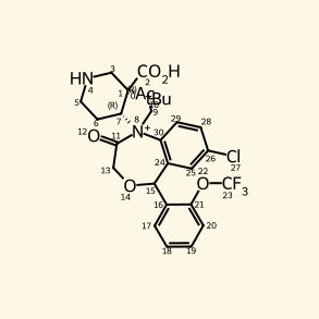 CC(=O)[C@@]1(C(=O)O)CNCC[C@H]1[N+]1(CC(C)(C)C)C(=O)COC(c2ccccc2OC(F)(F)F)c2cc(Cl)ccc21